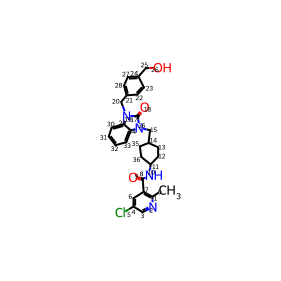 Cc1ncc(Cl)cc1C(=O)NC1CCC(Cn2c(=O)n(Cc3ccc(CO)cc3)c3ccccc32)CC1